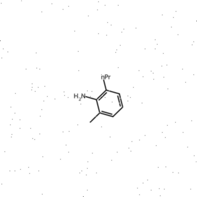 CCCc1cccc(C)c1N